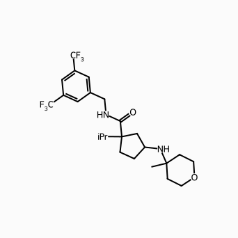 CC(C)C1(C(=O)NCc2cc(C(F)(F)F)cc(C(F)(F)F)c2)CCC(NC2(C)CCOCC2)C1